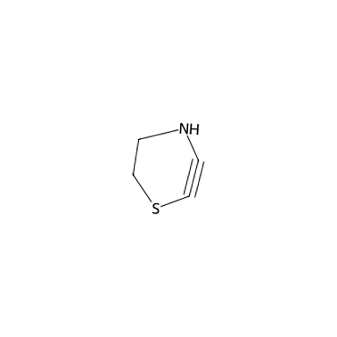 C1#CSCCN1